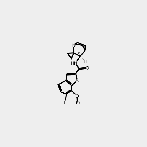 CCOc1c(F)ccc2cc(C(=O)N[C@@H]3C4CCN(CC4)C34CC4)sc12